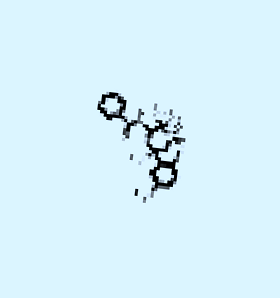 CC1(c2cc(N)ccc2F)CS(=O)(=O)C(C)(C)C(NC(=O)c2ccccc2)=N1